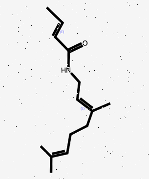 C/C=C/C(=O)NC/C=C(\C)CCC=C(C)C